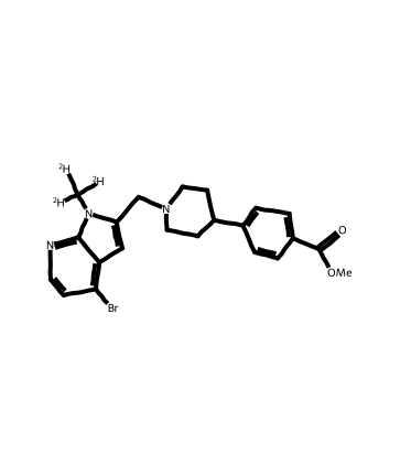 [2H]C([2H])([2H])n1c(CN2CCC(c3ccc(C(=O)OC)cc3)CC2)cc2c(Br)ccnc21